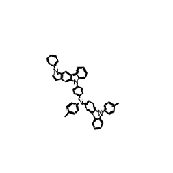 Cc1ccc(N(c2ccc(-n3c4ccccc4c4cc5c(ccn5-c5ccccc5)cc43)cc2)c2ccc3c(c2)c2ccccc2n3-c2ccc(C)cc2)cc1